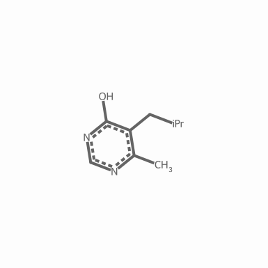 Cc1ncnc(O)c1CC(C)C